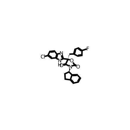 O=C1O[C@](Cc2ccc(F)cc2)(c2nc3ccc(Cl)cc3[nH]2)C(=O)N1[C@@H]1CCc2ccccc21